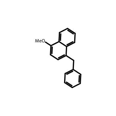 COc1ccc(Cc2ccccc2)c2ccccc12